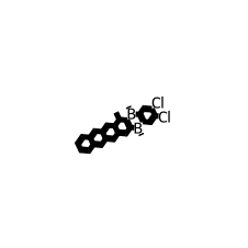 CB1C2=C(B(C)c3cc(Cl)c(Cl)cc31)C(C)C1C=c3cc4ccccc4cc3=CC1=C2